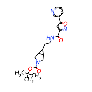 CC(C)(C)OC(=O)N1CC2C(CCNC(=O)c3cc(-c4cccnc4)on3)C2C1